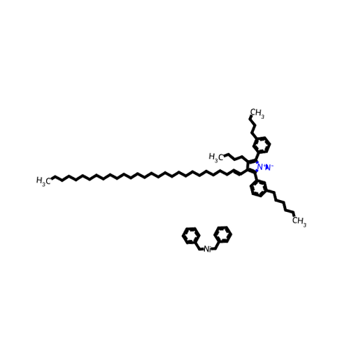 CCCCCCCCCCCCCCCCCCCCCCCCCCCC=CC1=C(c2cccc(CCCCCC)c2)[N+](=[N-])C(c2cccc(CCCC)c2)=C1CCCC.c1ccc([CH2][Ni][CH2]c2ccccc2)cc1